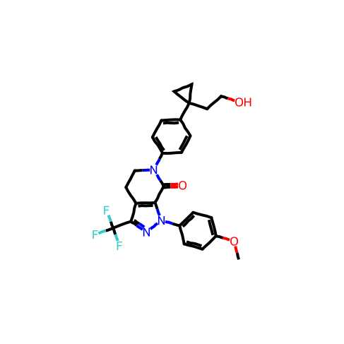 COc1ccc(-n2nc(C(F)(F)F)c3c2C(=O)N(c2ccc(C4(CCO)CC4)cc2)CC3)cc1